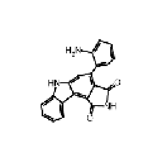 Nc1ccccc1-c1cc2[nH]c3ccccc3c2c2c1C(=O)NC2=O